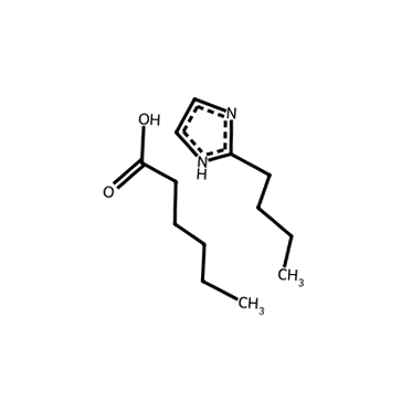 CCCCCC(=O)O.CCCCc1ncc[nH]1